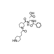 O=C(O)C[C@H](NC(=O)c1ccccc1)NC(=O)[C@@H]1CCCN(C(=O)CCC2CCNCC2)C1